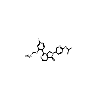 O=C(O)COc1cc(F)ccc1-c1nccc2c1CN(c1ccc(OC(F)F)nc1)C2=O